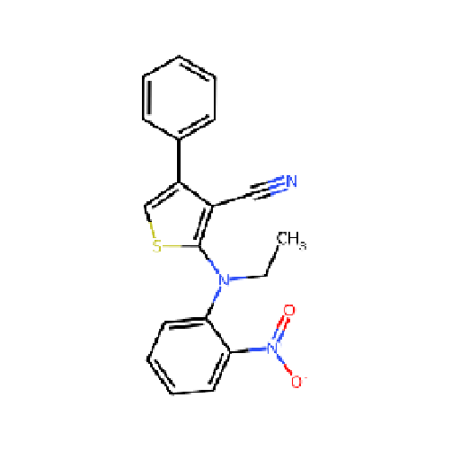 CCN(c1ccccc1[N+](=O)[O-])c1scc(-c2ccccc2)c1C#N